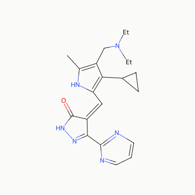 CCN(CC)Cc1c(C)[nH]c(C=C2C(=O)NN=C2c2ncccn2)c1C1CC1